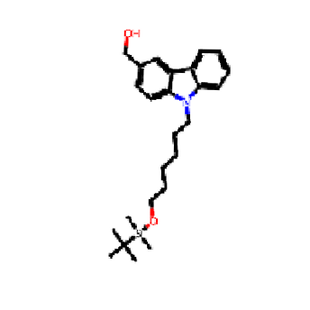 CC(C)(C)[Si](C)(C)OCCCCCCn1c2ccccc2c2cc(CO)ccc21